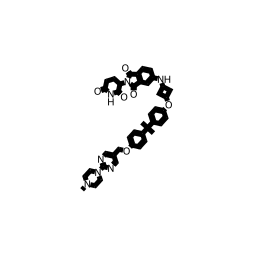 CN1CCN(c2ncc(COc3ccc(C(C)(C)c4ccc(OC5CC(Nc6ccc7c(c6)C(=O)N(C6CCC(=O)NC6=O)C7=O)C5)cc4)cc3)cn2)CC1